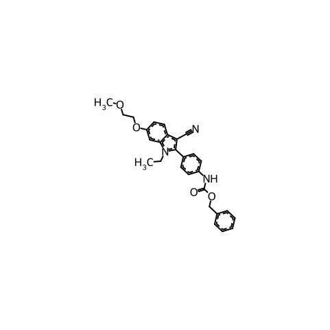 CCn1c(-c2ccc(NC(=O)OCc3ccccc3)cc2)c(C#N)c2ccc(OCCOC)cc21